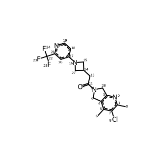 Cc1nc2c(c(C)c1Cl)CN(C(=O)CC1CN(c3ccnc(C(F)(F)F)c3)C1)C2